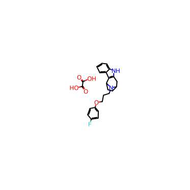 Fc1ccc(OCCCN2C3CCC2c2c([nH]c4ccccc24)C3)cc1.O=C(O)C(=O)O